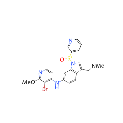 CNCc1cn([S+]([O-])c2cccnc2)c2cc(Nc3ccnc(OC)c3Br)ccc12